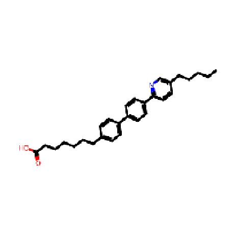 CCCCCc1ccc(-c2ccc(-c3ccc(CCCCCCC(=O)O)cc3)cc2)nc1